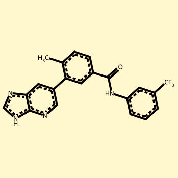 Cc1ccc(C(=O)Nc2cccc(C(F)(F)F)c2)cc1-c1cnc2[nH]cnc2c1